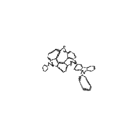 c1ccc(-n2c3ccccc3c3cc(-n4c5cccc6sc7cccc8c7c7c(c65)c4ccc7n8-c4ccccc4)ccc32)cc1